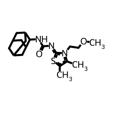 COCCn1c(C)c(C)s/c1=N\C(=O)NC1C2CC3CC(C2)CC1C3